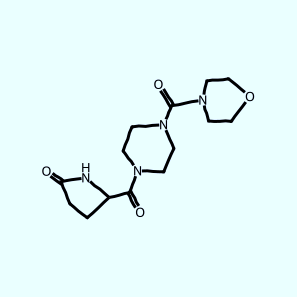 O=C1CCC(C(=O)N2CCN(C(=O)N3CCOCC3)CC2)N1